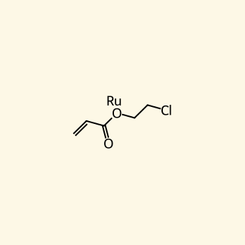 C=CC(=O)OCCCl.[Ru]